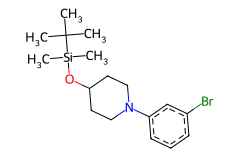 CC(C)(C)[Si](C)(C)OC1CCN(c2cccc(Br)c2)CC1